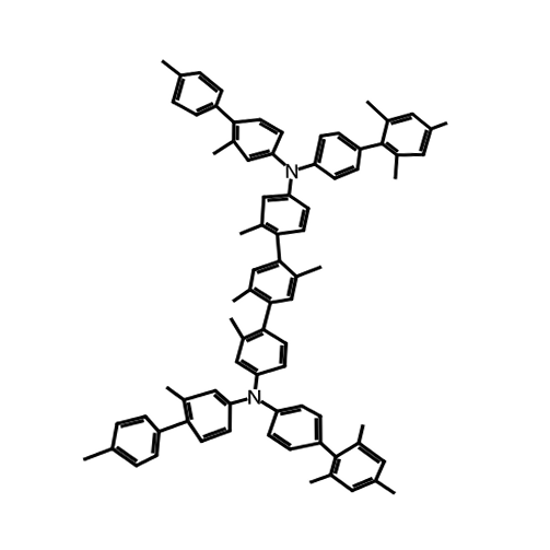 Cc1ccc(-c2ccc(N(c3ccc(-c4c(C)cc(C)cc4C)cc3)c3ccc(-c4cc(C)c(-c5ccc(N(c6ccc(-c7c(C)cc(C)cc7C)cc6)c6ccc(-c7ccc(C)cc7)c(C)c6)cc5C)cc4C)c(C)c3)cc2C)cc1